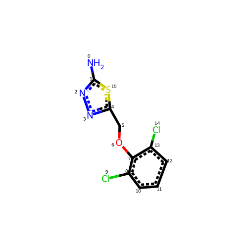 Nc1nnc(COc2c(Cl)cccc2Cl)s1